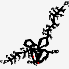 O=Cc1ccc(C=O)c(C2(C(F)(F)C(F)(F)C(F)(F)C(F)(F)C(F)(F)C(F)(F)C(F)(F)C(F)(F)F)CC=C(C(F)(F)C(F)(F)C(F)(F)C(F)(F)C(F)(F)C(F)(F)C(F)(F)C(F)(F)F)C=C2c2ccccc2-c2ccccc2)c1